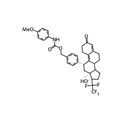 COc1ccc(NC(=O)OCc2ccc([C@H]3C[C@@]4(C)C(CC[C@@]4(O)C(F)(F)C(F)(F)F)C4CCC5=CC(=O)CCC5=C43)cc2)cc1